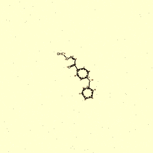 O=CO/N=C\C(=O)c1ccc(Sc2ccccc2)cc1